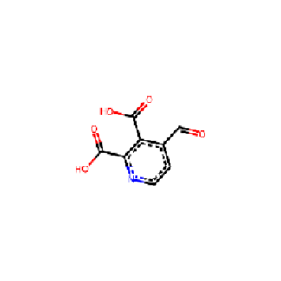 O=Cc1ccnc(C(=O)O)c1C(=O)O